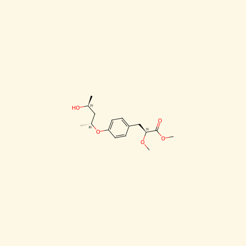 COC(=O)[C@H](Cc1ccc(O[C@H](C)C[C@H](C)O)cc1)OC